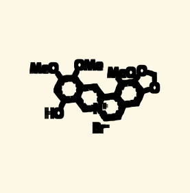 COc1cc(O)c2c[n+]3ccc4cc5c(c(OC)c4c3cc2c1OC)OCO5.[Br-]